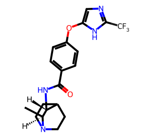 C[C@H]1[C@H](NC(=O)c2ccc(Oc3cnc(C(F)(F)F)[nH]3)cc2)C2CCN1CC2